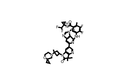 Cc1c(C(=O)NC2(C(F)F)CC2)cc(Nc2nc(-c3cnc4c(c3)N(C3CC(C)(N5CCOC6(CC6)C5)C3)C(=O)C4(C)C)cc3ncn(C(C)C)c23)c(F)c1F